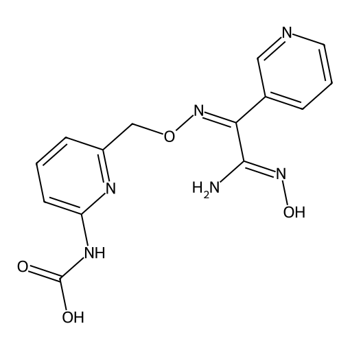 NC(=NO)C(=NOCc1cccc(NC(=O)O)n1)c1cccnc1